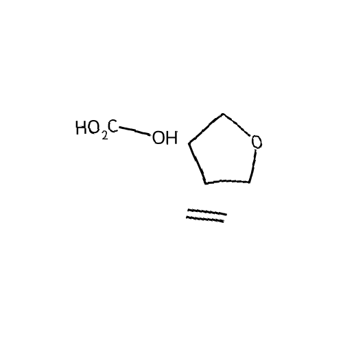 C1CCOC1.C=C.O=C(O)O